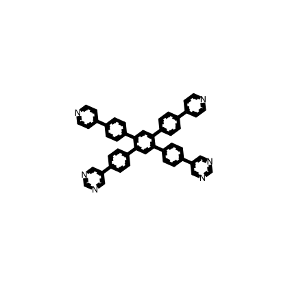 c1cc(-c2ccc(-c3cc(-c4ccc(-c5ccncc5)cc4)c(-c4ccc(-c5cncnc5)cc4)cc3-c3ccc(-c4cncnc4)cc3)cc2)ccn1